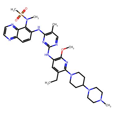 CCc1cc(Nc2ncc(C)c(Nc3ccc4nccnc4c3N(C)S(C)(=O)=O)n2)c(OC)nc1N1CCC(N2CCN(C)CC2)CC1